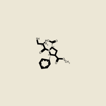 COC(=O)C1C[C@@H](C(=O)O)N(C(=O)[C@H](C)CS)[C@H]1c1ccccc1